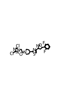 O=C(Cn1nc(Cl)nc1Cl)N1CCC(c2nc(C3=NOC(c4c(F)cccc4F)C3)cs2)CC1